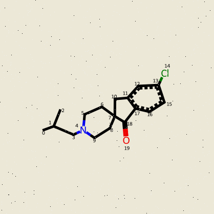 C[C](C)CN1CCC2(CC1)Cc1cc(Cl)ccc1C2=O